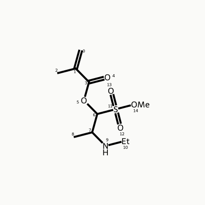 C=C(C)C(=O)OC(C(C)NCC)S(=O)(=O)OC